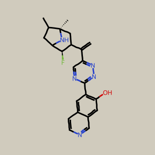 C=C(c1cnc(-c2cc3ccncc3cc2O)nn1)C1C[C@@]2(C)NC(CC2C)[C@@H]1F